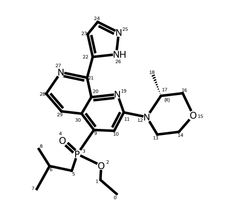 CCOP(=O)(CC(C)C)c1cc(N2CCOC[C@H]2C)nc2c(-c3ccn[nH]3)nccc12